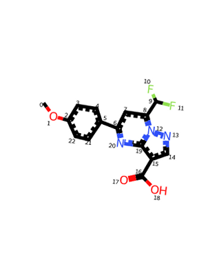 COc1ccc(-c2cc(C(F)F)n3ncc(C(=O)O)c3n2)cc1